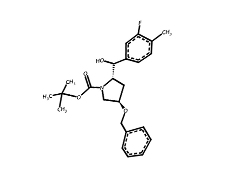 Cc1ccc(C(O)[C@@H]2C[C@@H](OCc3ccccc3)CN2C(=O)OC(C)(C)C)cc1F